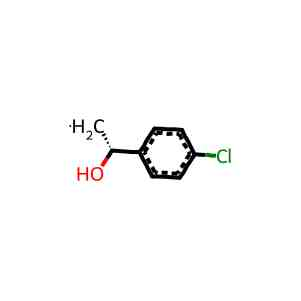 [CH2][C@@H](O)c1ccc(Cl)cc1